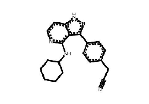 N#CCc1ccc(-c2n[nH]c3ccnc(NC4CCCCC4)c23)cc1